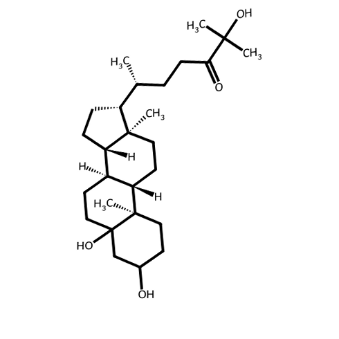 C[C@H](CCC(=O)C(C)(C)O)[C@H]1CC[C@H]2[C@@H]3CCC4(O)CC(O)CC[C@]4(C)[C@H]3CC[C@]12C